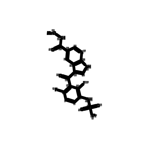 CCCS(=O)(=O)Nc1ccc(F)c(C(=O)c2c[nH]c3ncc(C(=O)NOC)cc23)c1F